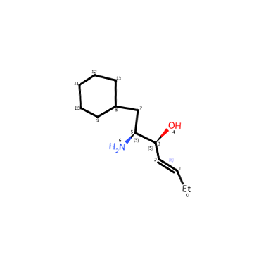 CC/C=C/[C@H](O)[C@@H](N)CC1CCCCC1